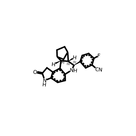 N#Cc1cc([C@H]2Nc3ccc4c(c3[C@@H]3C5CCC(C5)[C@H]23)CC(=O)N4)ccc1F